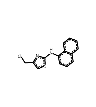 ClCc1csc(Nc2cccc3ccccc23)n1